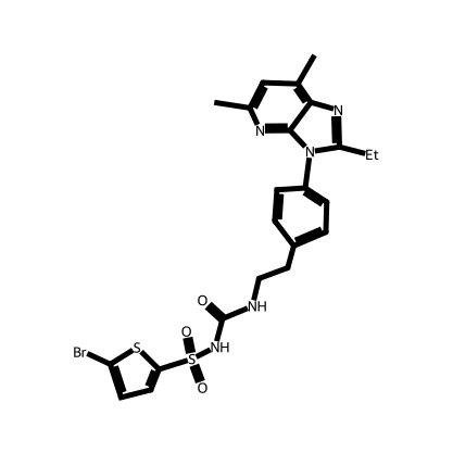 CCc1nc2c(C)cc(C)nc2n1-c1ccc(CCNC(=O)NS(=O)(=O)c2ccc(Br)s2)cc1